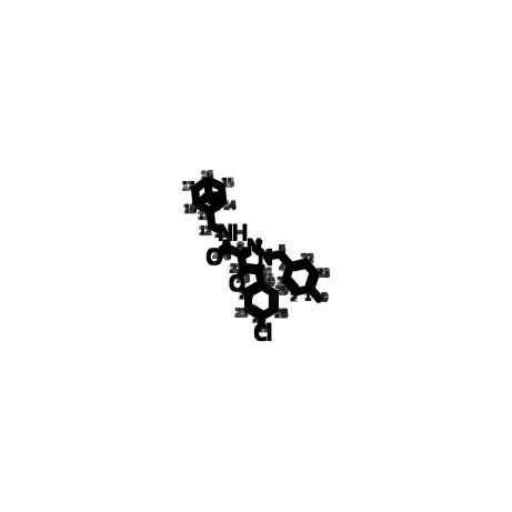 Cc1ccc(Cn2nc(C(=O)NCC3CCC4CC3C4(C)C)c3oc4cc(Cl)ccc4c32)cc1